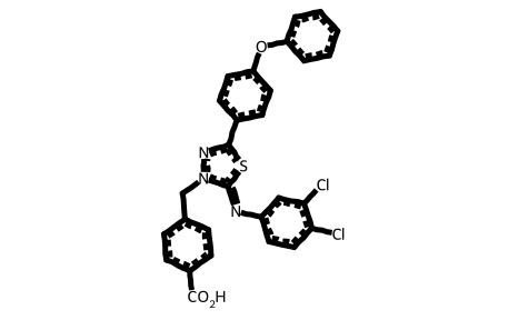 O=C(O)c1ccc(Cn2nc(-c3ccc(Oc4ccccc4)cc3)sc2=Nc2ccc(Cl)c(Cl)c2)cc1